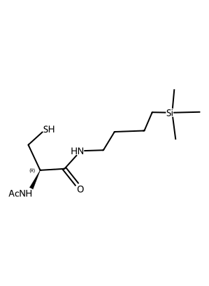 CC(=O)N[C@@H](CS)C(=O)NCCCC[Si](C)(C)C